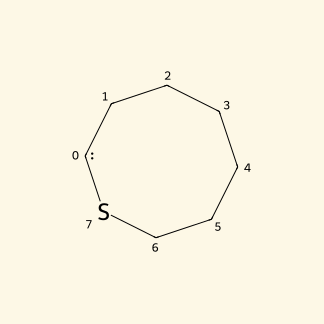 [C]1CCCCCCS1